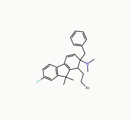 CC(=O)CCC1C2=C(C=CC1(Cc1ccccc1)N(C)C)c1ccc(F)cc1C2(C)C